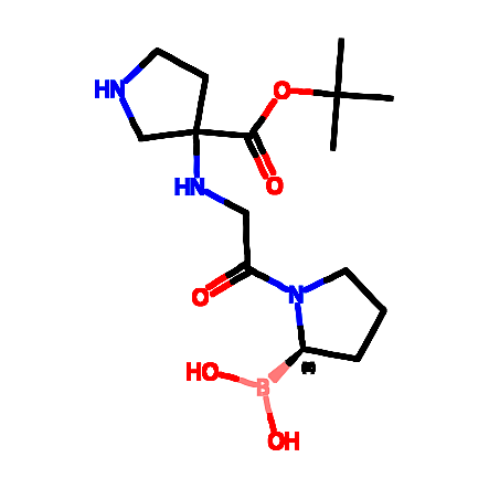 CC(C)(C)OC(=O)C1(NCC(=O)N2CCC[C@H]2B(O)O)CCNC1